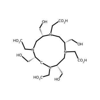 O=C(O)CN1C[C@H](CO)N(CC(=O)O)C[C@H](CO)N(CC(=O)O)C[C@H](CO)N(CC(=O)O)C[C@@H]1CO